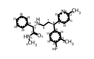 CNC(=O)[C@@H](NCC[C@@H](c1ccc(C)nc1)c1ccc(F)c(C)c1)c1ccccc1